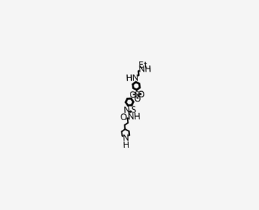 CCNCCNc1ccc(S(=O)(=O)Oc2ccc3nc(NC(=O)CCC4CCNCC4)sc3c2)cc1